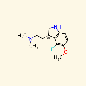 COc1ccc2c(c1F)[C@H](CCN(C)C)CN2